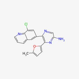 Cc1ccc(-c2nc(N)cnc2-c2cc(Cl)c3ncccc3c2)o1